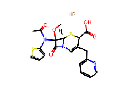 Br.COC1(N(C(C)=O)c2cccs2)C(=O)N2C=C(Cc3ccccn3)C(C(=O)O)S[C@@H]21